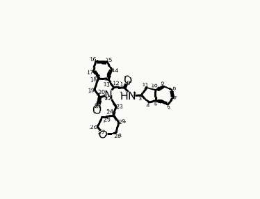 O=C(NC1Cc2ccccc2C1)C1c2ccccc2CC(=O)N1CC1CCOCC1